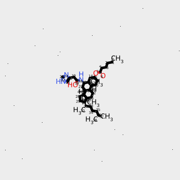 CCCCCC(=O)O[C@H]1CC[C@@]2(C)C(C1)[C@H](NC(O)Cc1c[nH]cn1)C[C@H]1[C@@H]3CC[C@H](C(C)CCCC(C)C)[C@@]3(C)CC[C@@H]12